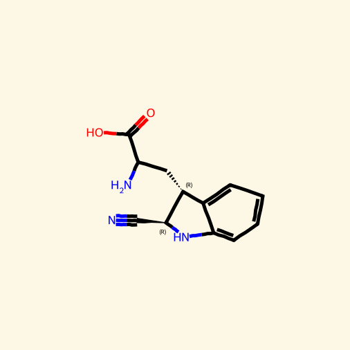 N#C[C@@H]1Nc2ccccc2[C@H]1CC(N)C(=O)O